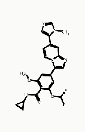 COc1cc(-c2cnc3cc(-c4cncn4C)ccn23)cc(OC(F)F)c1C(=O)NC1CC1